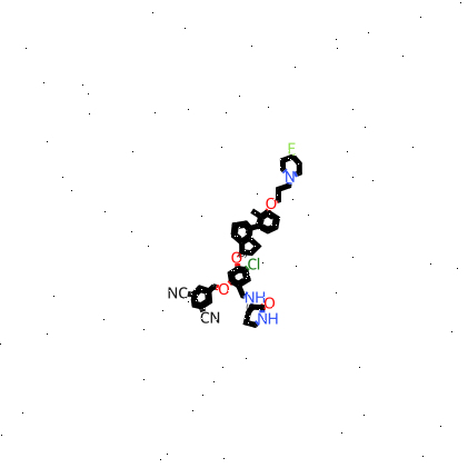 Cc1c(OCCCN2CCC(F)CC2)cccc1-c1cccc2c1CC[C@@H]2Oc1cc(OCc2cc(C#N)cc(C#N)c2)c(CN[C@H]2CCCNC2=O)cc1Cl